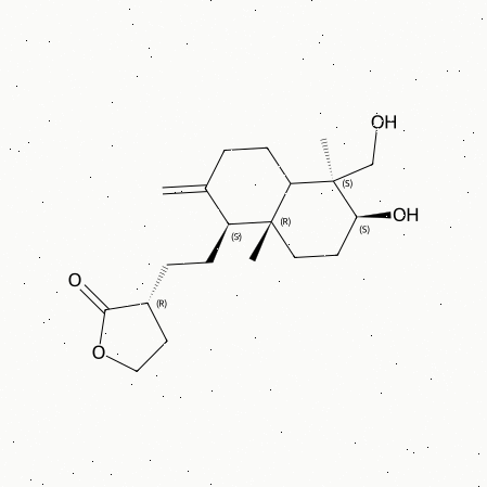 C=C1CCC2[C@](C)(CC[C@H](O)[C@]2(C)CO)[C@H]1CC[C@@H]1CCOC1=O